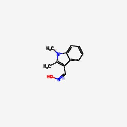 Cc1c(/C=N\O)c2ccccc2n1C